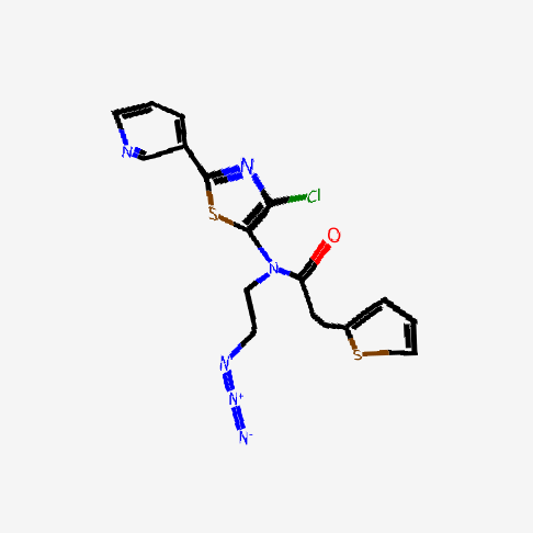 [N-]=[N+]=NCCN(C(=O)Cc1cccs1)c1sc(-c2cccnc2)nc1Cl